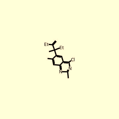 C=C(CC)C(C)(CC)c1cc2c(Cl)nc(C)nc2cc1C